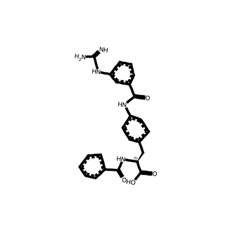 N=C(N)Nc1cccc(C(=O)Nc2ccc(C[C@H](NC(=O)c3ccccc3)C(=O)O)cc2)c1